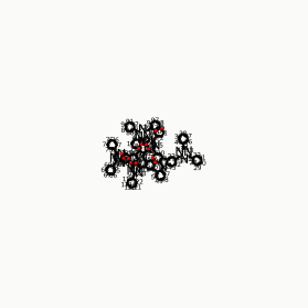 c1ccc(-c2nc(-c3ccccc3)nc(-c3ccc4c(c3)c3cc(-c5nc(-c6ccccc6)nc(-c6ccccc6)n5)ccc3n4-c3ccccc3-c3ccc(-n4c5ccc(-c6nc(-c7ccccc7)nc(-c7ccccc7)n6)cc5c5cc(-c6nc(-c7ccccc7)nc(-c7ccccc7)n6)ccc54)c(-c4nc(-c5ccccc5)nc(-c5ccccc5)n4)c3)n2)cc1